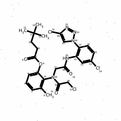 Cc1cccc(OC(=O)CCC(C)(C)C)c1N(CC(=O)Nc1cc(Cl)ccc1-n1cc(Cl)nn1)C(=O)CCl